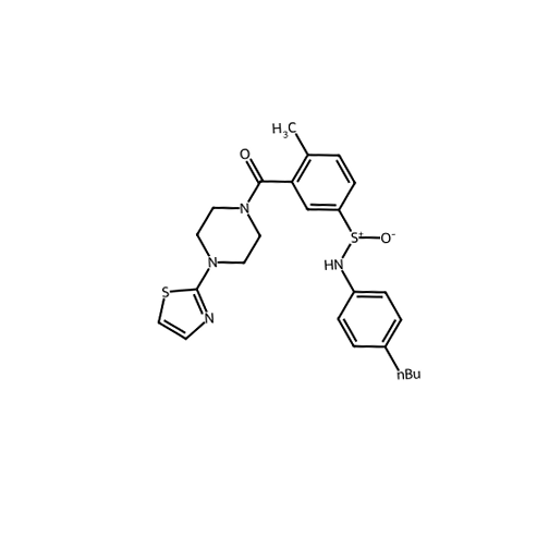 CCCCc1ccc(N[S+]([O-])c2ccc(C)c(C(=O)N3CCN(c4nccs4)CC3)c2)cc1